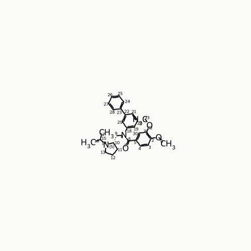 COc1ccc(C(=O)N(C[C@@H]2CCCN2C(C)C)c2cccc(-c3ccccc3)c2)cc1OC